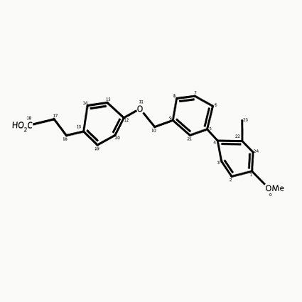 COc1ccc(-c2cccc(COc3ccc(CCC(=O)O)cc3)c2)c(C)c1